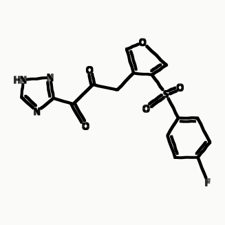 O=C(Cc1cocc1S(=O)(=O)c1ccc(F)cc1)C(=O)c1nc[nH]n1